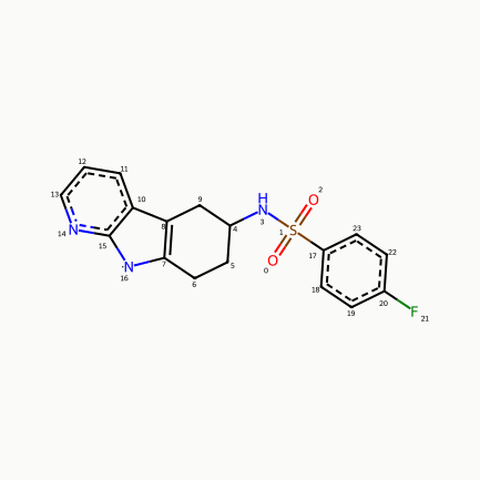 O=S(=O)(NC1CCC2=C(C1)c1cccnc1[N]2)c1ccc(F)cc1